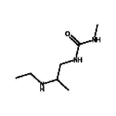 CCNC(C)CNC(=O)NC